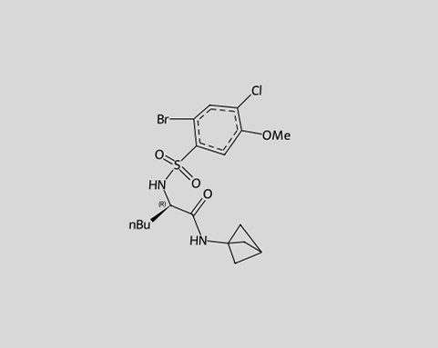 CCCC[C@@H](NS(=O)(=O)c1cc(OC)c(Cl)cc1Br)C(=O)NC12CC(C1)C2